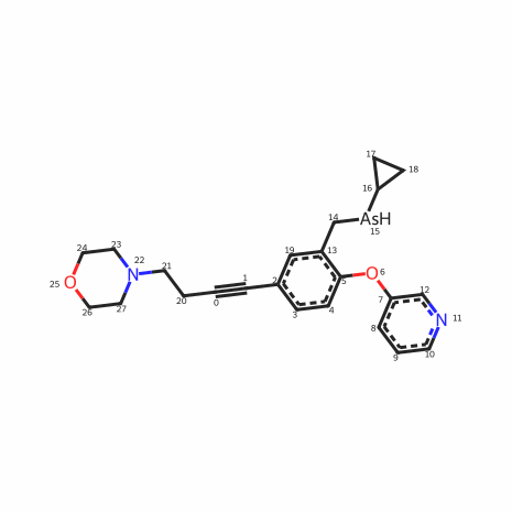 C(#Cc1ccc(Oc2cccnc2)c(C[AsH]C2CC2)c1)CCN1CCOCC1